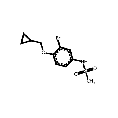 CS(=O)(=O)Nc1ccc(OCC2CC2)c(Br)c1